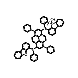 C[Si]1(C)c2ccccc2-c2cccc(N(c3ccccc3)c3cc(-c4ccccc4)c4ccc5c(N(c6ccccc6)c6cccc7c6oc6ccccc67)cc(-c6ccccc6)c6ccc3c4c65)c21